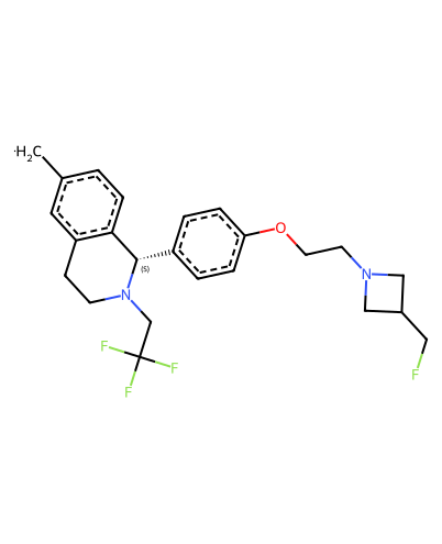 [CH2]c1ccc2c(c1)CCN(CC(F)(F)F)[C@H]2c1ccc(OCCN2CC(CF)C2)cc1